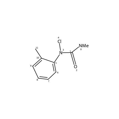 CNC(=O)N(Cl)c1ccccc1C